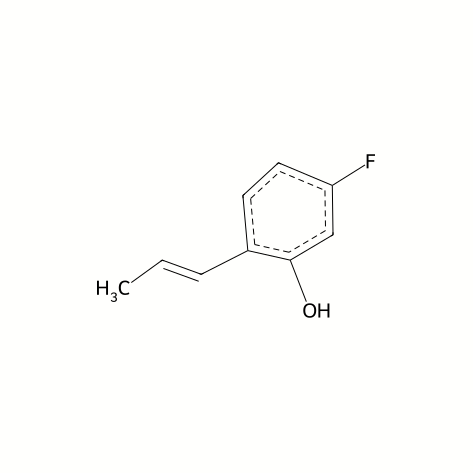 CC=Cc1ccc(F)cc1O